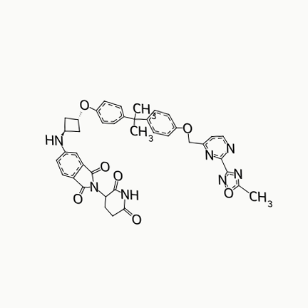 Cc1nc(-c2nccc(COc3ccc(C(C)(C)c4ccc(O[C@H]5C[C@H](Nc6ccc7c(c6)C(=O)N(C6CCC(=O)NC6=O)C7=O)C5)cc4)cc3)n2)no1